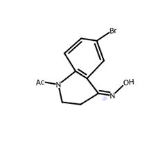 CC(=O)N1CC/C(=N/O)c2cc(Br)ccc21